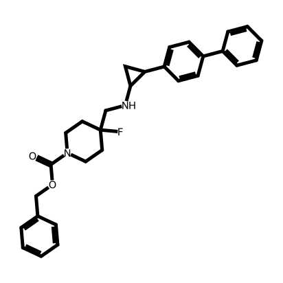 O=C(OCc1ccccc1)N1CCC(F)(CNC2CC2c2ccc(-c3ccccc3)cc2)CC1